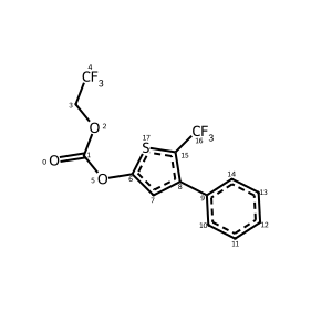 O=C(OCC(F)(F)F)Oc1cc(-c2ccccc2)c(C(F)(F)F)s1